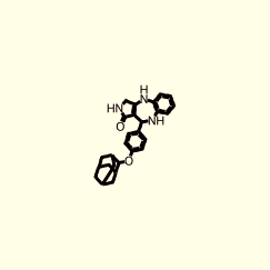 O=C1NCC2=C1C(c1ccc(OC3C4CC5CC(C4)CC3C5)cc1)Nc1ccccc1N2